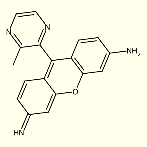 Cc1nccnc1-c1c2ccc(=N)cc-2oc2cc(N)ccc12